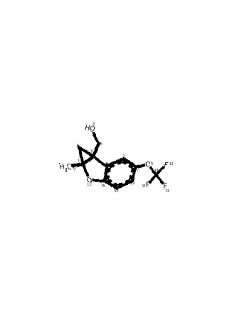 CC12CC1(CO)c1cc(OC(F)(F)F)ccc1O2